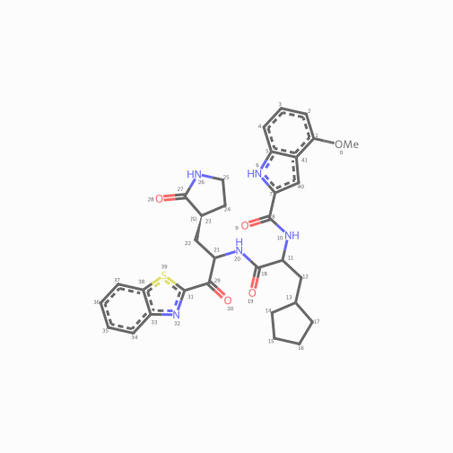 COc1cccc2[nH]c(C(=O)NC(CC3CCCC3)C(=O)NC(C[C@@H]3CCNC3=O)C(=O)c3nc4ccccc4s3)cc12